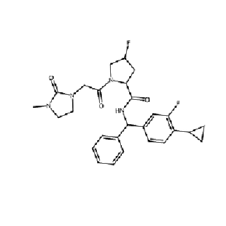 CN1CCN(CC(=O)N2CC(F)CC2C(=O)NC(c2ccccc2)c2ccc(C3CC3)c(F)c2)C1=O